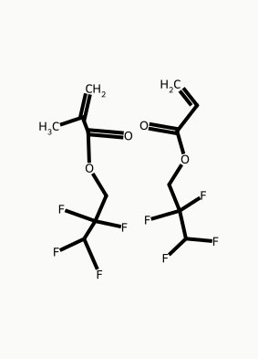 C=C(C)C(=O)OCC(F)(F)C(F)F.C=CC(=O)OCC(F)(F)C(F)F